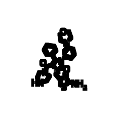 Nc1nc(Cn2c(C(=O)N3CCNCC3)c(-c3ccccc3)n(-c3cccc(N4CCOCC4)c3)c2=O)cs1